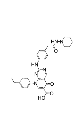 CCc1ccc(-n2cc(C(=O)O)c(=O)c3cnc(Nc4ccc(CC(=O)NN5CCCCC5)cc4)nc32)cc1